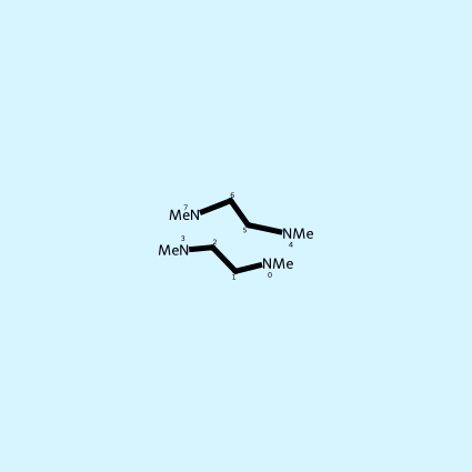 CNCCNC.CNCCNC